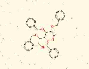 O=C[C@@H](OCc1ccccc1)[C@H](OCc1ccccc1)[C@H](OCc1ccccc1)[C@H](CO)OCc1ccccc1